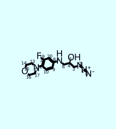 [N-]=[N+]=NC[C@H](O)CNc1ccc(N2CCOCC2)c(F)c1